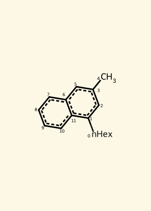 [CH2]CCCCCc1cc(C)cc2ccccc12